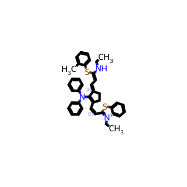 CCNC(=C/C=C1\CCC(/C=C\c2sc3ccccc3[n+]2CC)=C1N(c1ccccc1)c1ccccc1)Sc1ccccc1C